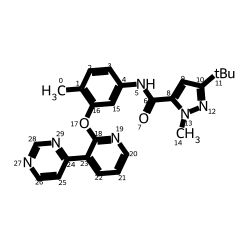 Cc1ccc(NC(=O)c2cc(C(C)(C)C)nn2C)cc1Oc1ncccc1-c1ccncn1